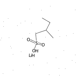 CCC(C)CS(=O)(=O)O.[LiH]